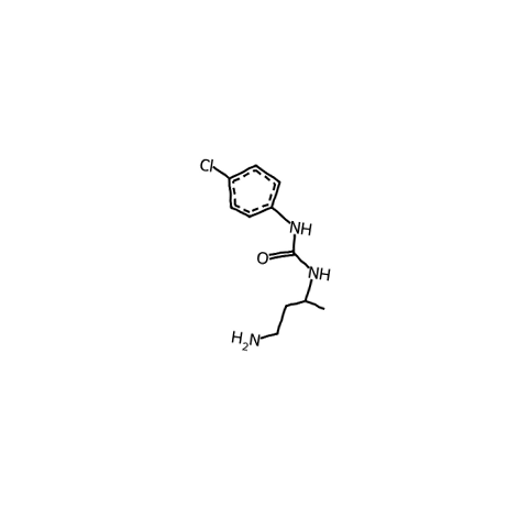 CC(CCN)NC(=O)Nc1ccc(Cl)cc1